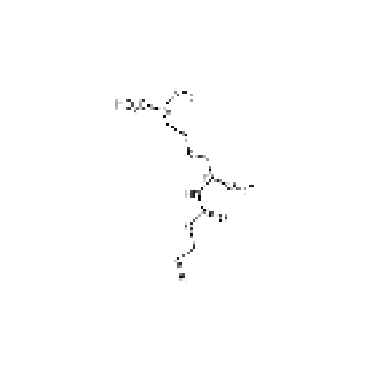 C=CCOC(=O)N[C@@H](CSSC[C@H](N)C(=O)O)C(=O)O